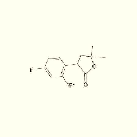 CC(C)c1cc(F)ccc1C1CC(C)(C)OC1=O